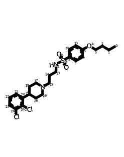 CCCCOc1ccc(S(=O)(=O)NCCCN2CCC(c3cccc(Cl)c3Cl)CC2)cc1